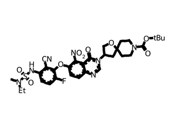 CCN(C)S(=O)(=O)Nc1ccc(F)c(Oc2ccc3ncn(C4COC5(CCN(C(=O)OC(C)(C)C)CC5)C4)c(=O)c3c2[N+](=O)[O-])c1C#N